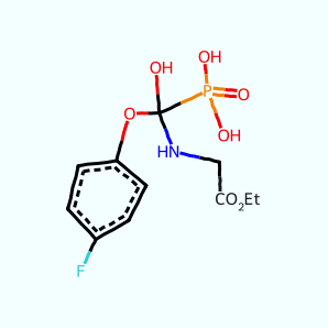 CCOC(=O)CNC(O)(Oc1ccc(F)cc1)P(=O)(O)O